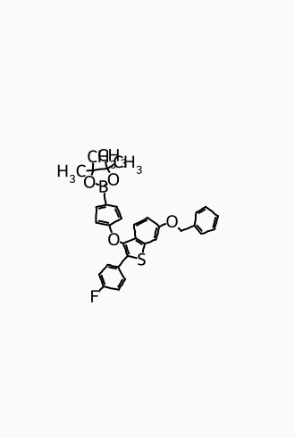 CC1(C)OB(c2ccc(Oc3c(-c4ccc(F)cc4)sc4cc(OCc5ccccc5)ccc34)cc2)OC1(C)C